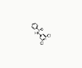 O=C(Nc1cc(Cl)[c]c(Cl)c1)c1ccccc1